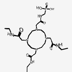 CCNC(=O)CN1CCN(CC(=O)NCC)CCN(CC(=O)NCP(=O)(O)O)CCN(CC(=O)NCC)CC1